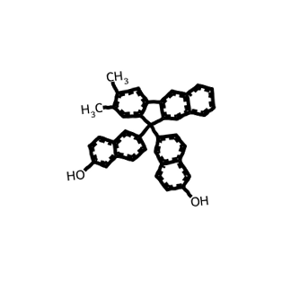 Cc1cc2c(cc1C)C(c1ccc3cc(O)ccc3c1)(c1ccc3cc(O)ccc3c1)c1cc3ccccc3cc1-2